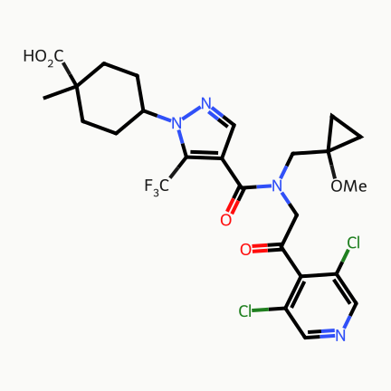 COC1(CN(CC(=O)c2c(Cl)cncc2Cl)C(=O)c2cnn(C3CCC(C)(C(=O)O)CC3)c2C(F)(F)F)CC1